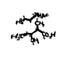 C=CC(O)C(C)C(=O)O.CC(=O)NCCS